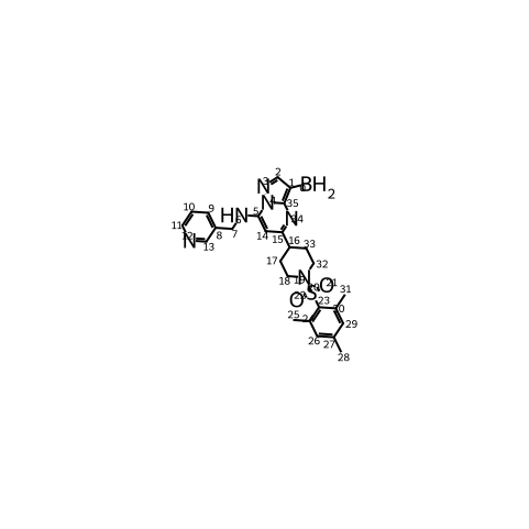 Bc1cnn2c(NCc3cccnc3)cc(C3CCN(S(=O)(=O)c4c(C)cc(C)cc4C)CC3)nc12